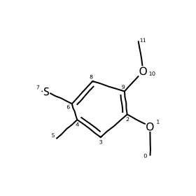 COc1cc(C)c([S])cc1OC